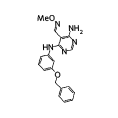 CO/N=C/c1c(N)ncnc1Nc1cccc(OCc2ccccc2)c1